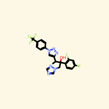 CC(c1cn(-c2ccc(C(F)(F)F)cc2)nn1)C(O)(Cn1cncn1)c1ccc(F)cc1F